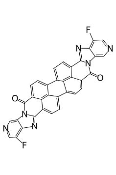 O=c1c2ccc3c4ccc5c6c(ccc(c7ccc(c2c37)c2nc3c(F)cncc3n12)c46)c(=O)n1c2cncc(F)c2nc51